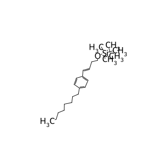 CCCCCCCCc1ccc(C=CCCO[Si](C)(C)C(C)(C)C)cc1